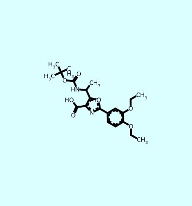 CCOc1ccc(-c2nc(C(=O)O)c(C(C)NC(=O)OC(C)(C)C)o2)cc1OCC